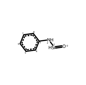 O=[SiH]Nc1ccccc1